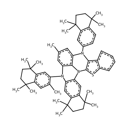 Cc1cc2c3c(c1)N(c1ccc4c(c1)C(C)(C)CCC4(C)C)c1c(sc4ccccc14)B3c1cc3c(cc1N2c1cc2c(cc1C)C(C)(C)CCC2(C)C)C(C)(C)CCC3(C)C